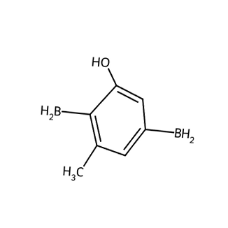 Bc1cc(C)c(B)c(O)c1